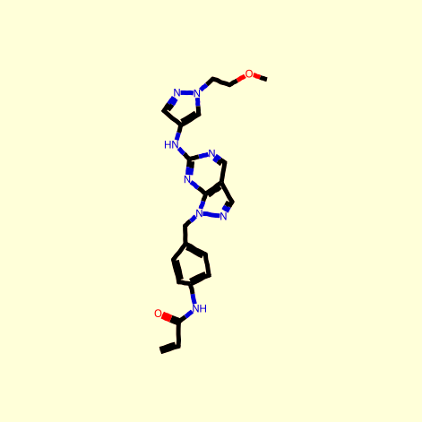 C=CC(=O)Nc1ccc(Cn2ncc3cnc(Nc4cnn(CCOC)c4)nc32)cc1